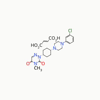 Cn1c(=O)cnn([C@H]2CC[C@@H](N3CCN(c4cccc(Cl)c4)CC3)CC2)c1=O.O=C(O)C=CC(=O)O